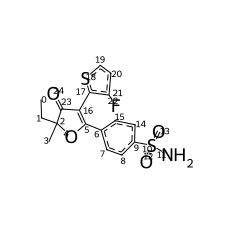 CCC1(C)OC(c2ccc(S(N)(=O)=O)cc2)=C(c2sccc2F)C1=O